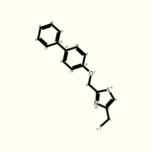 ICc1csc(COc2ccc(-c3ccccc3)cc2)n1